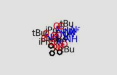 CC(C)[C@H](NC(=O)OC(C)(C)C)C(=O)O[C@@H]1[C@H](OC(=O)[C@@H](NC(=O)OC(C)(C)C)C(C)C)[C@@H](COC(c2ccccc2)(c2ccccc2)c2ccccc2)N(C(=O)OC(C)(C)C)[C@H]1c1c[nH]c2c(N=[N+]=[N-])ncnc12